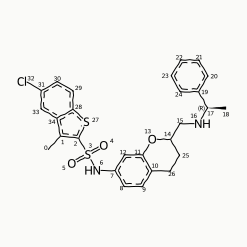 Cc1c(S(=O)(=O)Nc2ccc3c(c2)OC(CN[C@H](C)c2ccccc2)CC3)sc2ccc(Cl)cc12